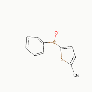 N#Cc1ccc([S+]([O-])c2ccccc2)s1